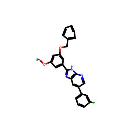 CC(C)Oc1cc(OCc2ccccc2)cc(-c2nc3cc(-c4cccc(F)c4)cnc3[nH]2)c1